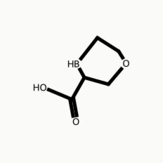 O=C(O)C1BCCOC1